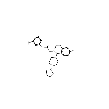 COc1ccc2c(c1)CCN(CC(=O)Nc1cc(Cl)cc(Cl)c1)C2C1CCN(C2CCCC2)CC1